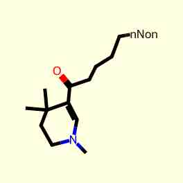 CCCCCCCCCCCCCC(=O)C1=CN(C)CCC1(C)C